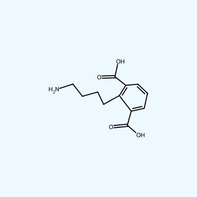 NCCCCc1c(C(=O)O)cccc1C(=O)O